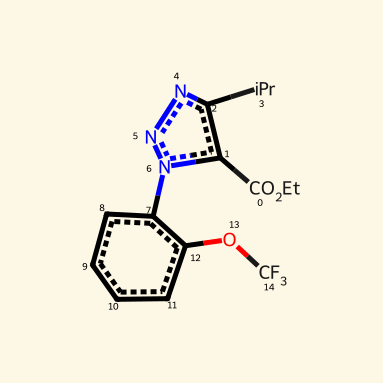 CCOC(=O)c1c(C(C)C)nnn1-c1ccccc1OC(F)(F)F